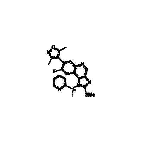 CSc1nc2cnc3cc(-c4c(C)noc4C)c(F)cc3c2n1[C@H](C)c1ccccn1